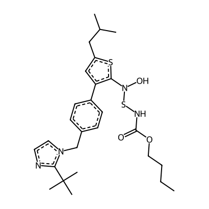 CCCCOC(=O)NSN(O)c1sc(CC(C)C)cc1-c1ccc(Cn2ccnc2C(C)(C)C)cc1